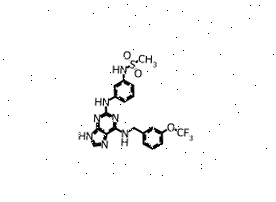 CS(=O)(=O)Nc1cccc(Nc2nc(NCc3cccc(OC(F)(F)F)c3)c3nc[nH]c3n2)c1